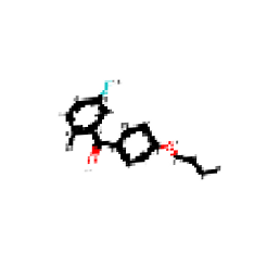 CCCCOc1ccc(C(=O)c2cc(F)ccc2C)cc1